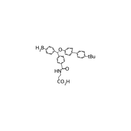 Bc1ccc(C(Oc2ccc(-c3ccc(C(C)(C)C)cc3)cc2)c2ccc(C(=O)NCCC(=O)O)cc2)cc1